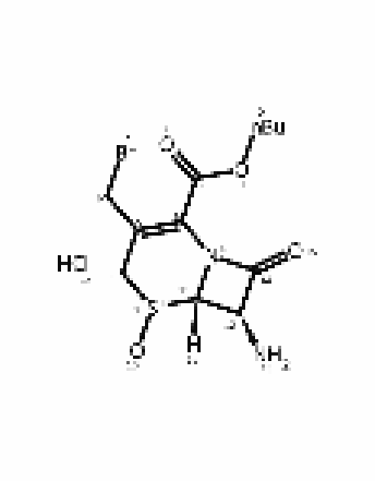 CCCCOC(=O)C1=C(CBr)C[S+]([O-])[C@H]2[C@H](N)C(=O)N12.Cl